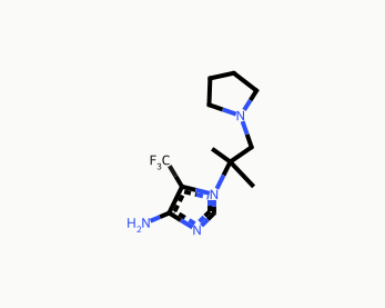 CC(C)(CN1CCCC1)n1cnc(N)c1C(F)(F)F